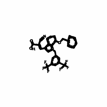 N#C/C(=C\c1cn(Cc2cc(C(F)(F)F)cc(C(F)(F)F)c2)c2c(OCc3ccccc3)cccc12)C(=O)O